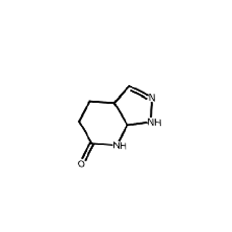 O=C1CCC2C=NNC2N1